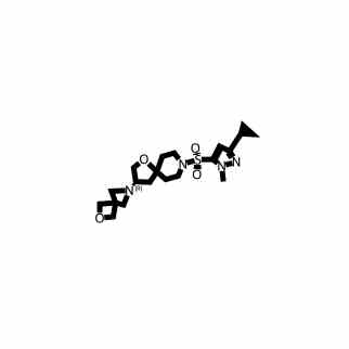 Cn1nc(C2CC2)cc1S(=O)(=O)N1CCC2(CC1)C[C@@H](N1CC3(COC3)C1)CO2